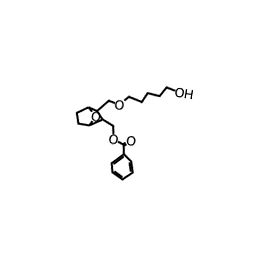 O=C(OCC1C2CCC(O2)C1COCCCCCO)c1ccccc1